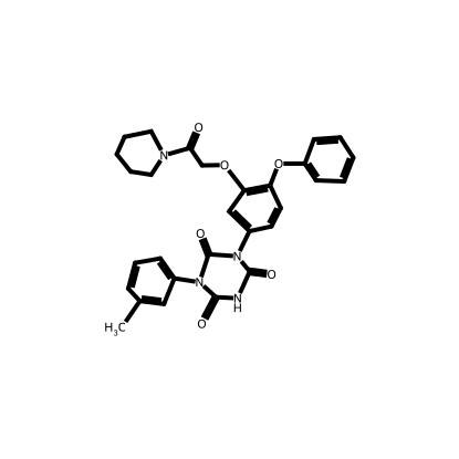 Cc1cccc(-n2c(=O)[nH]c(=O)n(-c3ccc(Oc4ccccc4)c(OCC(=O)N4CCCCC4)c3)c2=O)c1